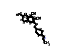 C/C=C/C1CCC(CSc2cc3c(c(C#N)c2C#N)OC(CCC)CC3)CC1